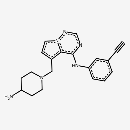 C#Cc1cccc(Nc2ncnn3ccc(CN4CCC(N)CC4)c23)c1